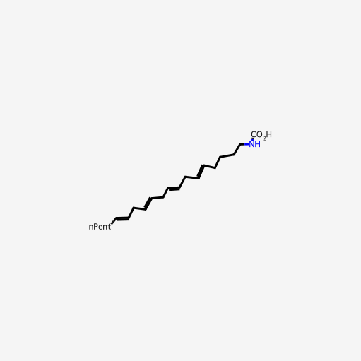 CCCCCC=CCC=CCC=CCC=CCCCCNC(=O)O